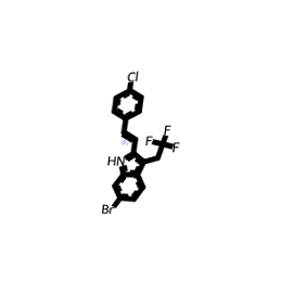 FC(F)(F)Cc1c(/C=C/c2ccc(Cl)cc2)[nH]c2cc(Br)ccc12